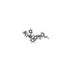 Nc1cccc(NC(=O)c2cccc(Cc3c(-c4ccccn4)nn(C4CCS(=O)(=O)C4)c3-c3ccccc3)c2)n1